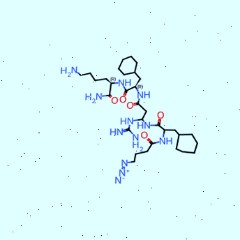 [N-]=[N+]=NCCCC(=O)NC(CC1CCCCC1)C(=O)NC(CC(=O)N[C@H](CC1CCCCC1)C(=O)N[C@H](CCCCN)C(N)=O)NC(=N)N